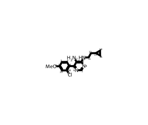 COc1ccc(-c2ncnc(NCCC3CC3)c2N)c(Cl)c1